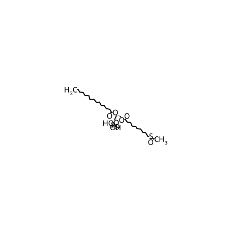 CCCCCCCCCCCCCCC(=O)O[C@H](COC(=O)CCCCCCCCCSC(C)=O)COP(=O)(O)O